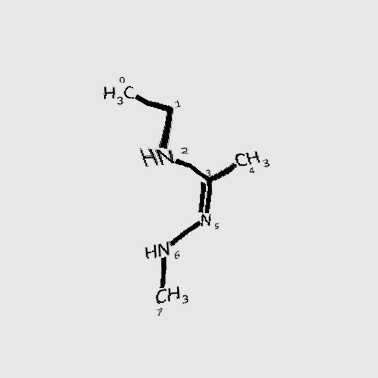 CCN/C(C)=N\NC